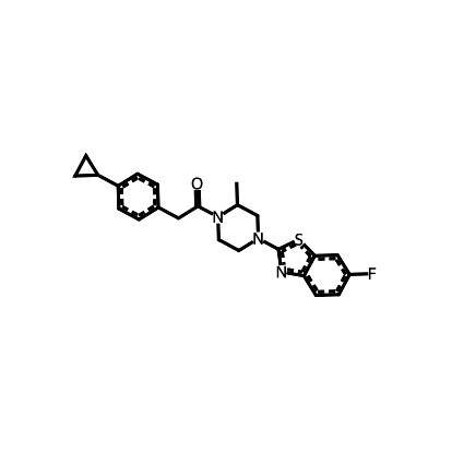 CC1CN(c2nc3ccc(F)cc3s2)CCN1C(=O)Cc1ccc(C2CC2)cc1